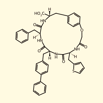 O=C1COc2ccc(cc2)C[C@@H](C(=O)O)NC(=O)[C@H](Cc2ccccc2)NC(=O)[C@@H](Cc2ccc(-c3ccccc3)cc2)NC(=O)[C@H](Cc2cccs2)N1